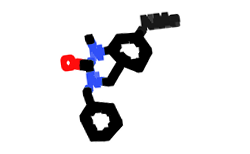 CNc1ccc2c(c1)N(C)C(=O)N(Cc1ccccc1)C2